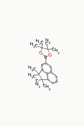 CC1(C)OB(c2cc3c4c(cccc4c2)C(C)(C)C3(C)C)OC1(C)C